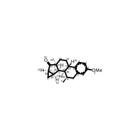 COc1ccc2c(c1)C[C@@H](C)[C@H]1[C@H]3[C@H]4C[C@H]4C(=O)[C@@]3(C)CC[C@H]21